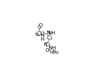 CCCCC(=O)Nc1cncc(-c2ccc3[nH]nc(-c4cc5c(-c6ccoc6)cncc5[nH]4)c3c2)c1